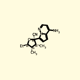 CC[C@H]1O[C@@](C#N)(c2ccc3c(N)ccnn23)[C@H](C)[C@@H]1C